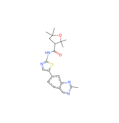 Cc1ncc2ccc(-c3cnc(NC(=O)C4CC(C)(C)OC4(C)C)s3)cc2n1